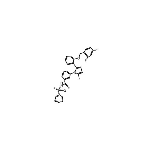 Cc1ccc(-c2ccccc2OCc2ccc(F)cc2F)n1-c1cccc(C(=O)NS(=O)(=O)c2ccccc2)c1